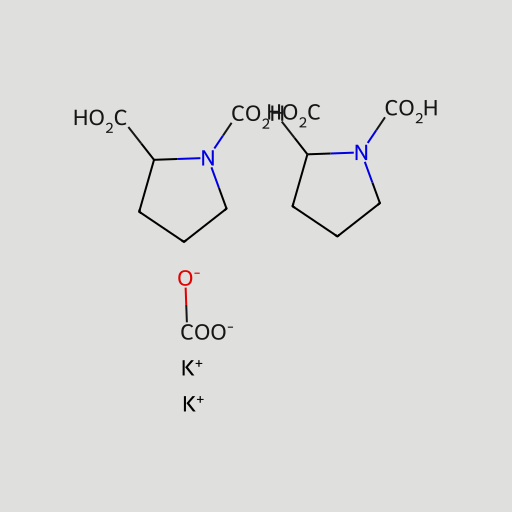 O=C(O)C1CCCN1C(=O)O.O=C(O)C1CCCN1C(=O)O.O=C([O-])[O-].[K+].[K+]